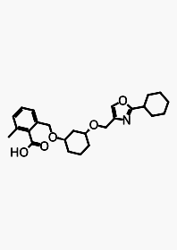 Cc1cccc(CO[C@@H]2CCC[C@H](OCc3coc(C4CCCCC4)n3)C2)c1C(=O)O